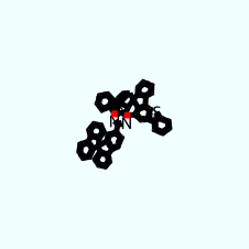 c1ccc(-c2nc(-c3ccc4c(c3)C3(c5ccccc5-c5ccccc53)c3ccccc3-4)nc(-c3cc4c(sc5ccccc54)c4c3C3(c5ccccc5-4)C4CC5CC(C4)CC3C5)n2)cc1